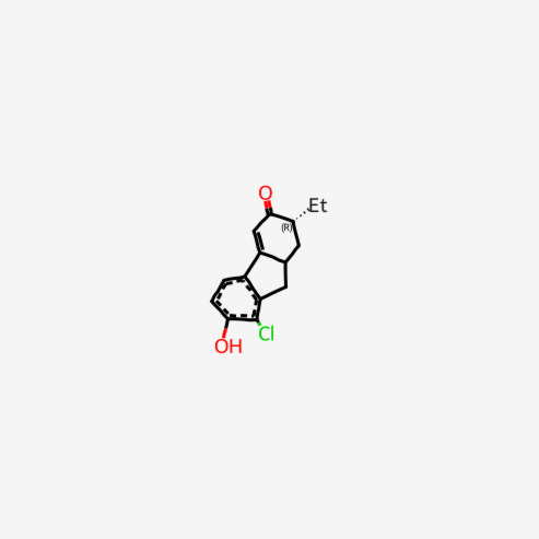 CC[C@@H]1CC2Cc3c(ccc(O)c3Cl)C2=CC1=O